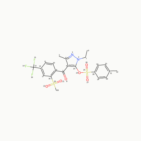 CCn1nc(C)c(C(=O)c2ccc(C(F)(F)F)cc2S(C)(=O)=O)c1OS(=O)(=O)c1ccc(C)cc1